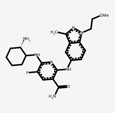 COCCn1nc(C)c2cc(Nc3nc(NC4CCCC[C@@H]4N)c(F)cc3C(N)=O)ccc21